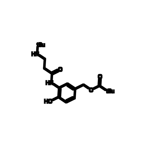 CC(C)(C)NCCC(=O)Nc1cc(COC(=O)C(C)(C)C)ccc1O